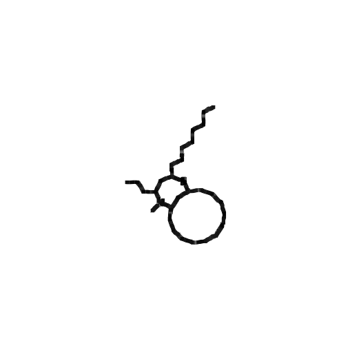 CCCCCCCCC1CC(CCC)N(C)C2CCCCCCCCCCCC(C2)S1